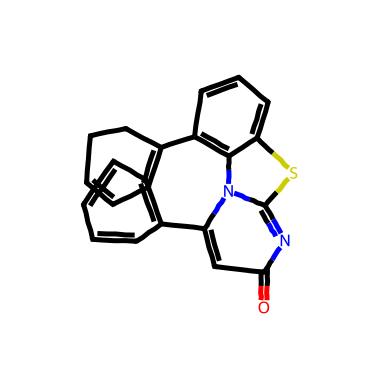 O=c1cc(-c2ccccc2)n2c(n1)sc1cccc(C3=CC=CCC3)c12